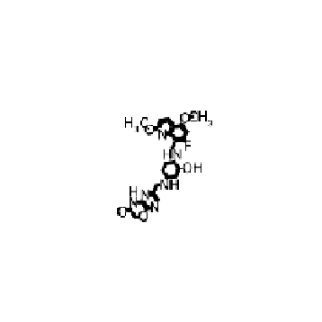 COc1ccc2c(OC)cc(F)c(CN[C@H]3CC[C@H](NCc4cnc5c(n4)NC(=O)CO5)C[C@H]3O)c2n1